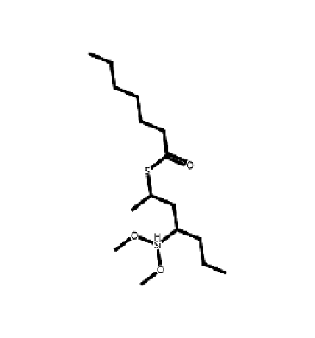 CCCCCCC(=O)SC(C)CC(CCC)[SiH](OC)OC